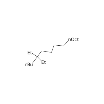 CCCCCCCCCCCCC(CC)(CC)CCCC